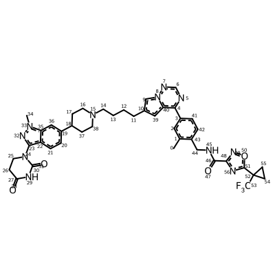 Cc1cc(-c2ncnn3cc(CCCCN4CCC(c5ccc6c(N7CCC(=O)NC7=O)nn(C)c6c5)CC4)cc23)ccc1CNC(=O)c1noc(C2(C(F)(F)F)CC2)n1